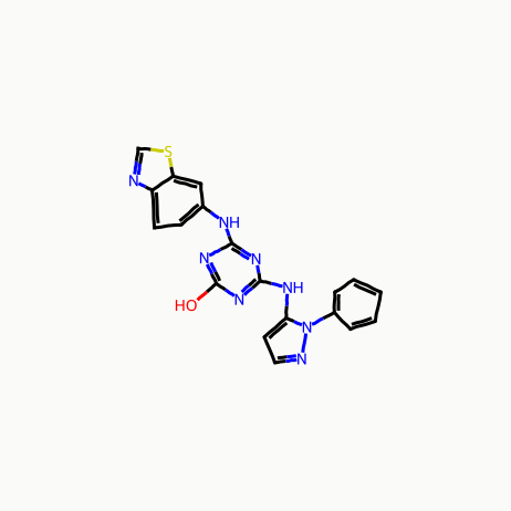 Oc1nc(Nc2ccc3ncsc3c2)nc(Nc2ccnn2-c2ccccc2)n1